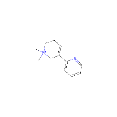 C[N+]1(C)CCC=C(c2ccccn2)C1